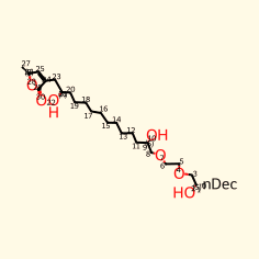 CCCCCCCCCC[C@H](O)COCCOC[C@@H](O)CCCCCCCCCC[C@@H](O)CC1=C[C@H](C)OC1=O